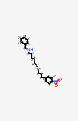 O=[N+]([O-])c1ccc(CCCCOCCCCCCNCc2ccccc2)cc1